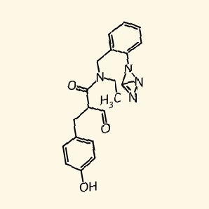 CCN(Cc1ccccc1-n1c2nn1-2)C(=O)C(C=O)Cc1ccc(O)cc1